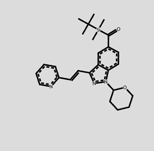 CC(C)(C)[Si](C)(C)C(=O)c1ccc2c(c1)c(C=Cc1ccccn1)nn2C1CCCCO1